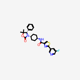 CC1(C)OC(=O)N([C@H]2CC[C@H](NC(=O)c3csc(-c4cncc(F)c4)n3)CC2)[C@H]1c1ccccc1